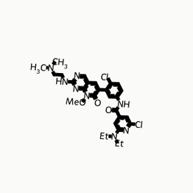 CCN(CC)c1cc(C(=O)Nc2ccc(Cl)c(-c3cc4cnc(NCCN(C)C)nc4n(OC)c3=O)c2)cc(Cl)n1